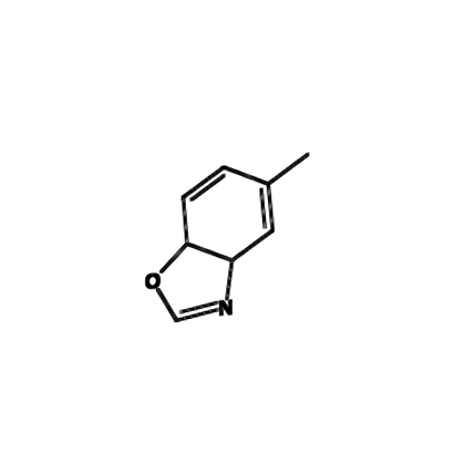 CC1=CC2N=COC2C=C1